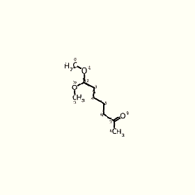 COC(CCCCC(C)=O)OC